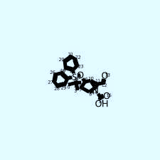 CC(C)(C)[Si](OC1CC2CC1C(C=O)N2C(=O)O)(c1ccccc1)c1ccccc1